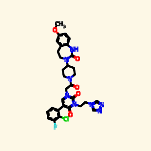 COc1ccc2c(c1)CCN(C1CCN(C(=O)Cn3cc(-c4cccc(F)c4Cl)c(=O)n(CCn4cnnc4)c3=O)CC1)C(=O)N2